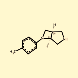 Cc1ccc(N2C[C@H]3CNC[C@H]32)cc1